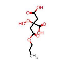 CCCOC(=O)CC(CC(=O)O)(OO)C(=O)O